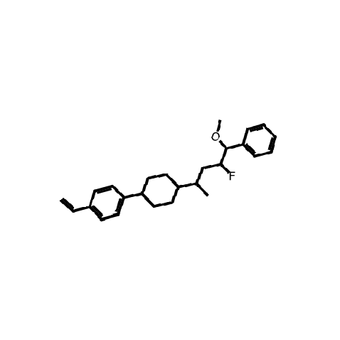 C=Cc1ccc(C2CCC(C(C)CC(F)C(OC)c3ccccc3)CC2)cc1